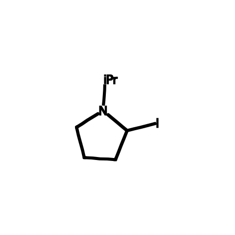 CC(C)N1CCCC1I